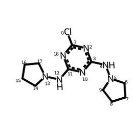 Clc1nc(NN2CCCC2)nc(NN2CCCC2)n1